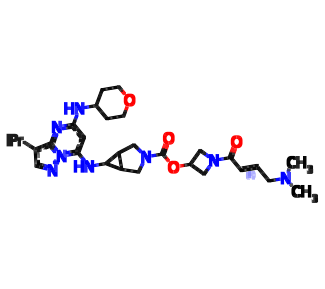 CC(C)c1cnn2c(NC3C4CN(C(=O)OC5CN(C(=O)/C=C/CN(C)C)C5)CC43)cc(NC3CCOCC3)nc12